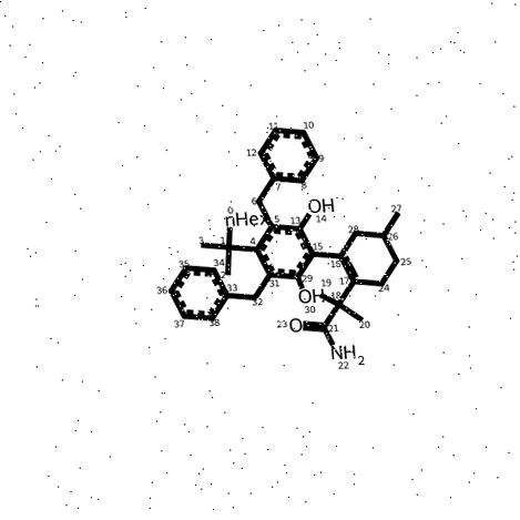 CCCCCCC(C)(C)c1c(Cc2ccccc2)c(O)c(C2=C(C(C)(C)C(N)=O)CCC(C)C2)c(O)c1Cc1ccccc1